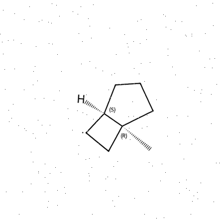 C[C@]12C[CH][C@H]1CCC2